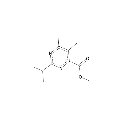 COC(=O)c1nc(C(C)C)nc(C)c1C